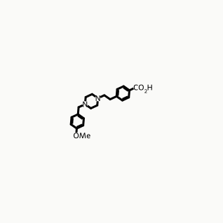 COc1ccc(CN2CCN(CCc3ccc(C(=O)O)cc3)CC2)cc1